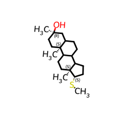 CS[C@H]1CCC2C3CCC4C[C@](C)(O)CC[C@]4(C)C3CC[C@@]21C